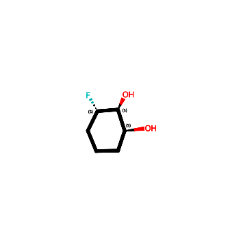 O[C@H]1[C@@H](O)CCC[C@@H]1F